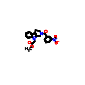 COC(=O)Cn1c2c(c3ccccc31)CCN(C(=O)c1cccc([N+](=O)[O-])c1)C2